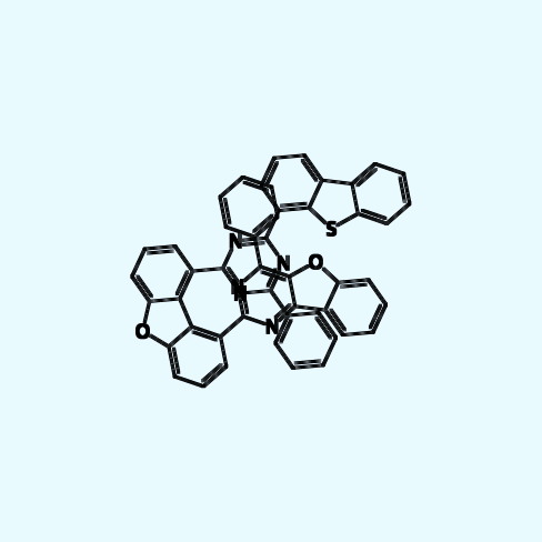 c1ccc(-c2nc(-c3cccc4c3sc3ccccc34)nc(-c3cccc4oc5cccc(-c6nc(-c7ccccc7)c7oc8ccccc8c7n6)c5c34)n2)cc1